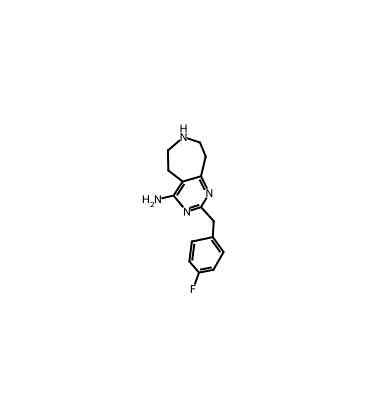 Nc1nc(Cc2ccc(F)cc2)nc2c1CCNCC2